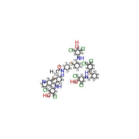 CC(=O)Nc1ccc(Sc2ccccc2CNc2cc(Cl)c(O)c(Cl)c2)cc1.Oc1c(Cl)cc(NCc2ccccc2Sc2ccc(Cl)c(Cl)c2)cc1Cl.Oc1c(Cl)cc(NCc2ccccc2Sc2ccc3cccnc3c2)cc1Cl